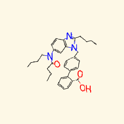 CCCCc1nc2ccc(N(CCCC)C(=O)CCC)cc2n1Cc1ccc(-c2ccccc2C(=O)O)cc1